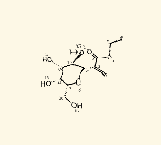 C=C(C(=O)OCC)[C@@H]1O[C@H](CO)[C@H](O)[C@H](O)[C@H]1O